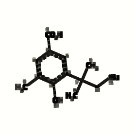 Cc1cc(C(=O)O)cc(C(C)(C)CC(C)(C)C)c1O